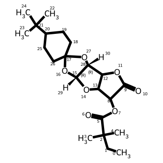 CCC(C)(C)C(=O)OC1C(=O)OC2C1O[C@@H]1OC3(CCC(C(C)(C)C)CC3)O[C@H]21